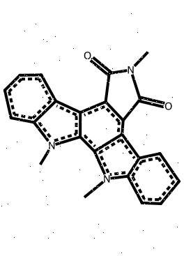 CN1C(=O)c2c(c3c4ccccc4n(C)c3c3c2c2ccccc2n3C)C1=O